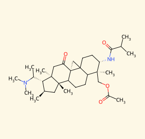 CC(=O)OC[C@@]1(C)C2CCC3[C@]4(C)C[C@@H](C)[C@H](C(C)N(C)C)[C@@]4(C)CC(=O)[C@]34CC24CC[C@@H]1NC(=O)C(C)C